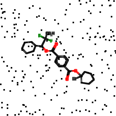 CCC1(OC(=O)c2ccc(C(=O)OC(C3CCCCC3)C(F)(F)C(=O)O)cc2)CCCCC1